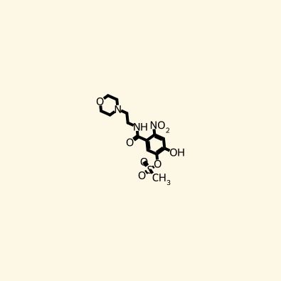 CS(=O)(=O)Oc1cc(C(=O)NCCN2CCOCC2)c([N+](=O)[O-])cc1O